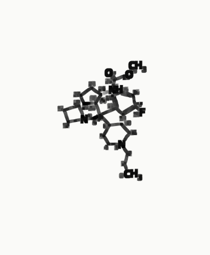 CCCN1CCC([C@@](CN2CCC2)(c2cccc(F)c2)[C@H]2CCC[C@@H]2NC(=O)OC)CC1